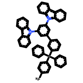 Cc1ccc([Si](c2ccccc2)(c2ccccc2)c2cccc(-c3cc(-n4c5ccccc5c5ccccc54)cc(-n4c5ccccc5c5ccccc54)c3)c2)cc1